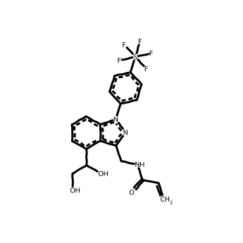 C=CC(=O)NCc1nn(-c2ccc(S(F)(F)(F)(F)F)cc2)c2cccc(C(O)CO)c12